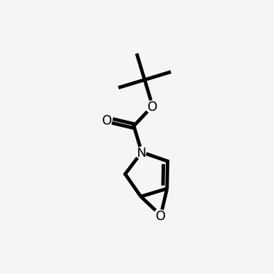 CC(C)(C)OC(=O)N1C=C2OC2C1